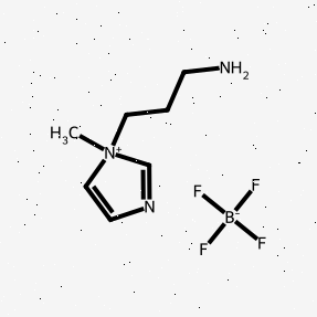 C[N+]1(CCCN)C=CN=C1.F[B-](F)(F)F